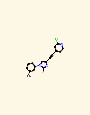 Cc1nc(C#Cc2ccnc(Cl)c2)cn1-c1cccc(C#N)c1